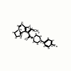 Cc1oc2c(c1C(=O)N1CCN(c3ccc(F)cc3)CC1)C1=NCCN1C=N2